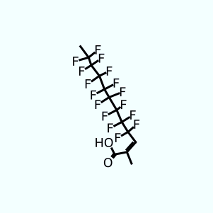 CC(=CC(F)(F)C(F)(F)C(F)(F)C(F)(F)C(F)(F)C(F)(F)C(F)(F)C(C)(F)F)C(=O)O